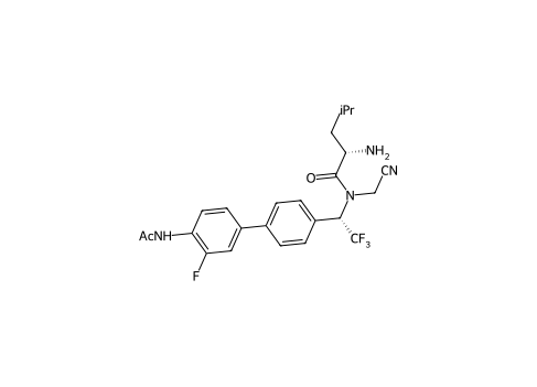 CC(=O)Nc1ccc(-c2ccc([C@H](N(CC#N)C(=O)[C@@H](N)CC(C)C)C(F)(F)F)cc2)cc1F